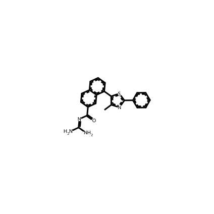 Cc1nc(-c2ccccc2)sc1-c1cccc2ccc(C(=O)N=C(N)N)cc12